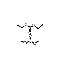 CCOS(=O)OCC.COS(=O)OC